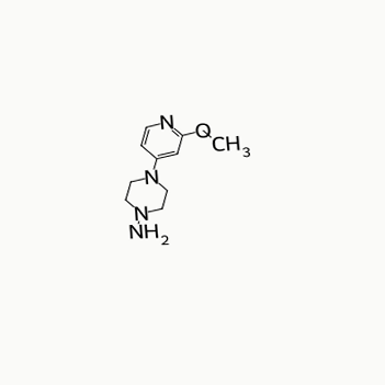 COc1cc(N2CCN(N)CC2)ccn1